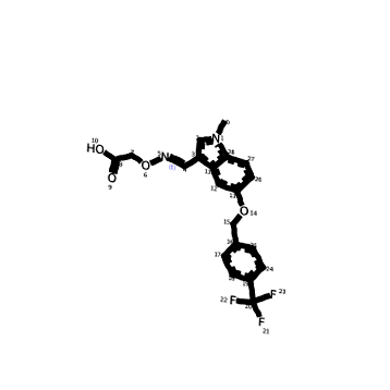 Cn1cc(/C=N/OCC(=O)O)c2cc(OCc3ccc(C(F)(F)F)cc3)ccc21